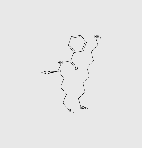 CCCCCCCCCCCCCCCCCCN.NCCCC[C@H](NC(=O)c1ccccc1)C(=O)O